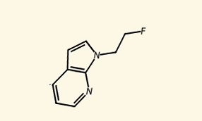 FCCn1ccc2[c]ccnc21